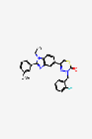 COc1cccc(-c2nc3cc(C4=NN(Cc5ccccc5F)C(=O)SC4)ccc3n2CC(C)C)c1